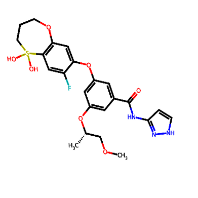 COC[C@H](C)Oc1cc(Oc2cc3c(cc2F)S(O)(O)CCCO3)cc(C(=O)Nc2cc[nH]n2)c1